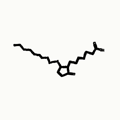 CCCCCCCCCSC1CCC(=O)C1CCCCCCC(=O)O